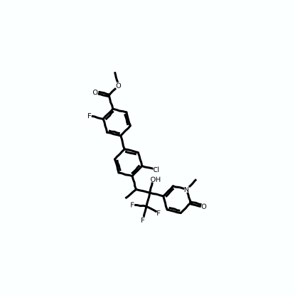 COC(=O)c1ccc(-c2ccc(C(C)C(O)(c3ccc(=O)n(C)c3)C(F)(F)F)c(Cl)c2)cc1F